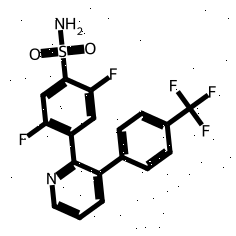 NS(=O)(=O)c1cc(F)c(-c2ncccc2-c2ccc(C(F)(F)F)cc2)cc1F